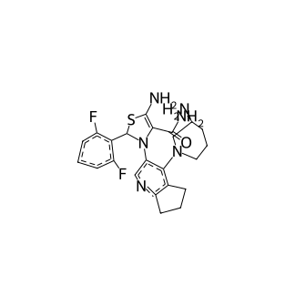 NC(=O)C1=C(N)SC(c2c(F)cccc2F)N1c1cnc2c(c1N1CCC[C@H](N)C1)CCC2